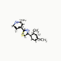 CCCc1cc(-c2nc(-c3ccc(C)cc3C)cs2)ccn1